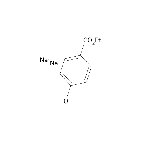 CCOC(=O)c1ccc(O)cc1.[Na].[Na]